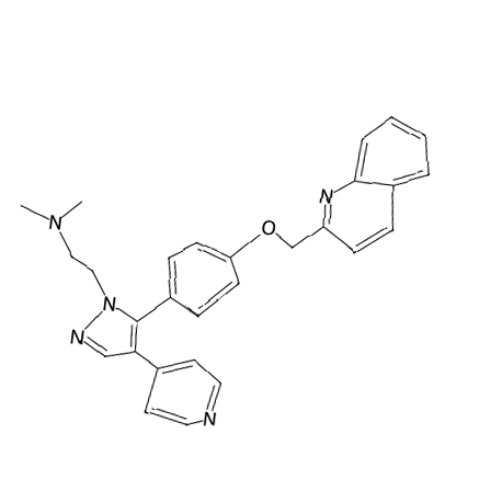 CN(C)CCn1ncc(-c2ccncc2)c1-c1ccc(OCc2ccc3ccccc3n2)cc1